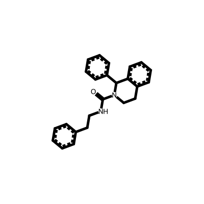 O=C(NCCc1ccccc1)N1CCc2ccccc2C1c1ccccc1